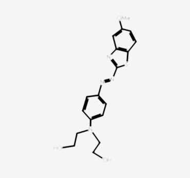 COc1ccc2sc(N=Nc3ccc(N(CCO)CCO)cc3)nc2c1